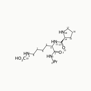 CC(C)NC(=O)C(CCCCNC(=O)O)NC(=O)[C@@H]1CCCN1